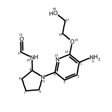 Nc1ccc(N2CCCC2NC=O)nc1OCCO